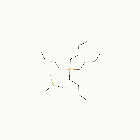 CCCC[P+](CCCC)(CCCC)CCCC.C[S+](C)C